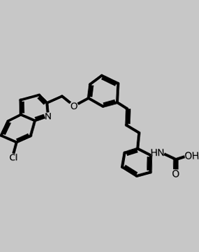 O=C(O)Nc1ccccc1CC=Cc1cccc(OCc2ccc3ccc(Cl)cc3n2)c1